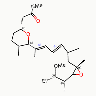 CC[C@H](OC)[C@@H](C)C1O[C@@]1(C)CC(C)/C=C/C=C(\C)[C@H]1O[C@@H](CC(=O)NC)CCC1C